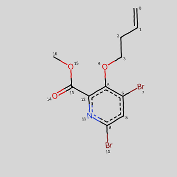 C=CCCOc1c(Br)cc(Br)nc1C(=O)OC